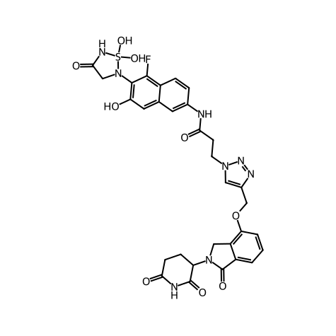 O=C1CCC(N2Cc3c(OCc4cn(CCC(=O)Nc5ccc6c(F)c(N7CC(=O)NS7(O)O)c(O)cc6c5)nn4)cccc3C2=O)C(=O)N1